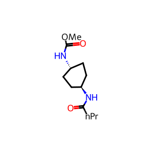 CCCC(=O)N[C@H]1CC[C@H](NC(=O)OC)CC1